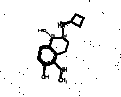 CNc1c(O)ccc2c1CC[C@H](NC1CCC1)[C@H]2O